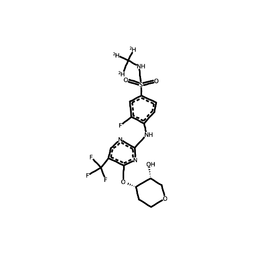 [2H]C([2H])([2H])NS(=O)(=O)c1ccc(Nc2ncc(C(F)(F)F)c(O[C@H]3CCOC[C@H]3O)n2)c(F)c1